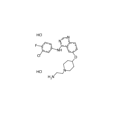 Cl.Cl.NCCN1CCC(Oc2ccc3ncnc(Nc4ccc(F)c(Cl)c4)c3c2)CC1